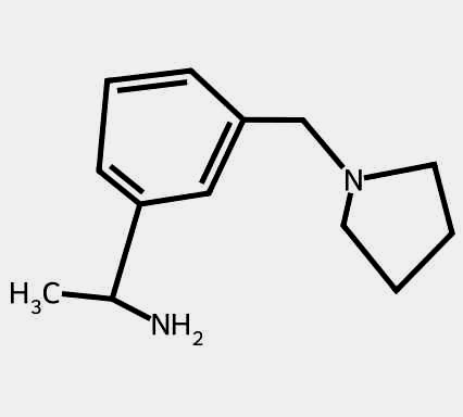 CC(N)c1cccc(CN2CCCC2)c1